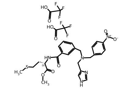 COC(=O)[C@H](CCSC)NC(=O)c1cccc(CN(Cc2ccc([N+](=O)[O-])cc2)Cc2c[nH]cn2)c1.O=C(O)C(F)(F)F.O=C(O)C(F)(F)F